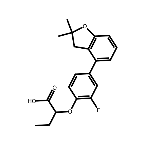 CCC(Oc1ccc(-c2cccc3c2CC(C)(C)O3)cc1F)C(=O)O